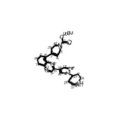 CC(C)(C)OC(=O)N1CC=C(c2cccc3ncc(-c4cnn(C5CCNCC5)c4)nc23)CC1